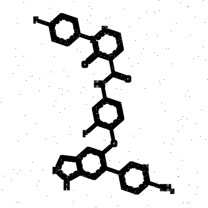 Nc1ccc(-c2cc3[nH]ncc3cc2Oc2ccc(NC(=O)c3ccnn(-c4ccc(F)cc4)c3=O)cc2F)cn1